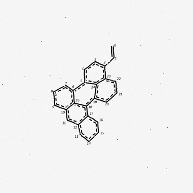 C=Cc1ccc2c3cccc4cc5ccccc5c(c5cccc1c25)c43